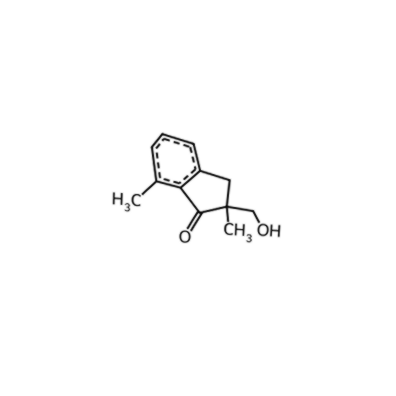 Cc1cccc2c1C(=O)C(C)(CO)C2